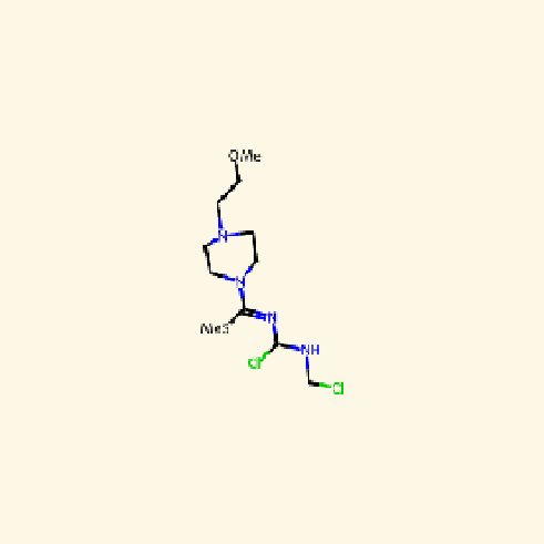 COCCN1CCN(/C(=N/C(Cl)NCCl)SC)CC1